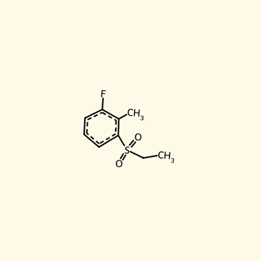 CCS(=O)(=O)c1cccc(F)c1C